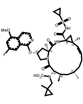 COc1cc(F)cc2c(O[C@@H]3C[C@H]4C(=O)N[C@]5(C(=O)NS(=O)(=O)C6CC6)C[C@H]5C=CCC[C@H](C)C[C@@H](C)[C@H](N(CC5(C)CC5)C(=O)O)C(=O)N4C3)nccc12